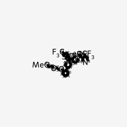 CCC[C@H]1N(C(=O)c2cnccc2C(F)(F)F)CCC[C@@]1(Oc1csc(C(F)(F)F)c1)C(=O)N1CCC(c2ccccc2OCCOCCOC)CC1